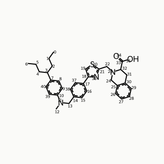 CCCC(CCC)c1ccc(N(C)Cc2ccc(-c3csc(CN4Cc5ccccc5CC4C(=O)O)n3)cc2)cc1